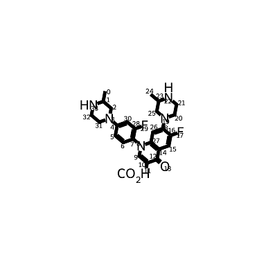 CC1CN(c2ccc(-n3cc(C(=O)O)c(=O)c4cc(F)c(N5CCNC(C)C5)cc43)c(F)c2)CCN1